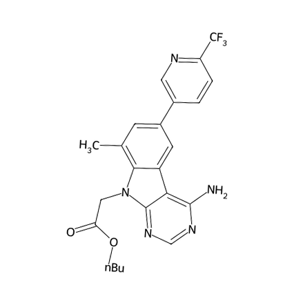 CCCCOC(=O)Cn1c2ncnc(N)c2c2cc(-c3ccc(C(F)(F)F)nc3)cc(C)c21